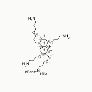 CCCCCN(CCCC)CCC[C@@H](C)[C@H]1CC[C@H]2[C@@H]3[C@H](OCCCN)C[C@@H]4C[C@H](OCCCN)CC[C@]4(C)[C@H]3C[C@H](OCCCN)[C@]12C